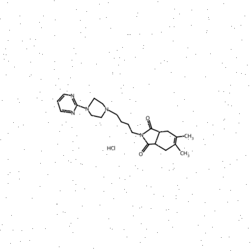 CC1=C(C)CC2C(=O)N(CCCCN3CCN(c4ncccn4)CC3)C(=O)C2C1.Cl